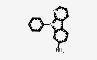 Nc1ccc2c3cccnc3n(-c3ccccc3)c2c1